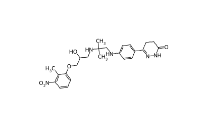 Cc1c(OCC(O)CNC(C)(C)CNc2ccc(C3=NNC(=O)CC3)cc2)cccc1[N+](=O)[O-]